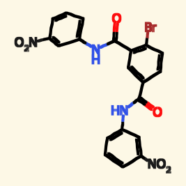 O=C(Nc1cccc([N+](=O)[O-])c1)c1ccc(Br)c(C(=O)Nc2cccc([N+](=O)[O-])c2)c1